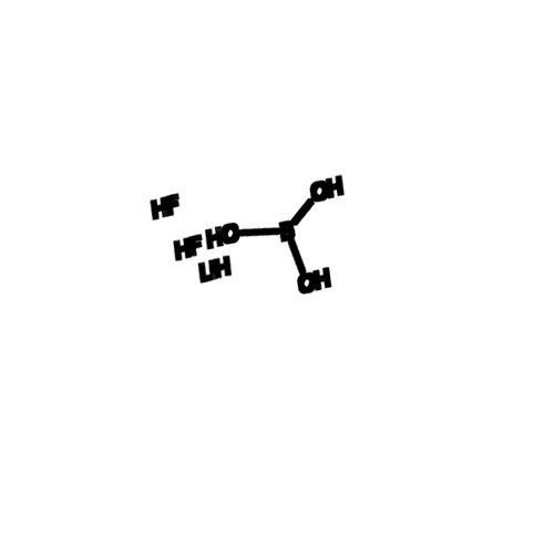 F.F.OB(O)O.[LiH]